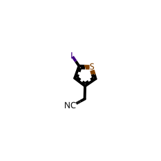 N#CCc1csc(I)c1